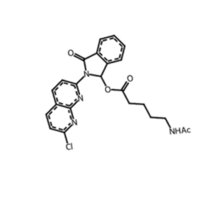 CC(=O)NCCCCC(=O)OC1c2ccccc2C(=O)N1c1ccc2ccc(Cl)nc2n1